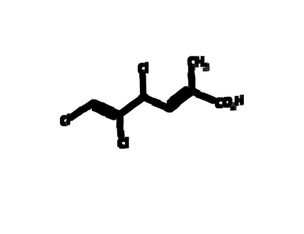 CC(=CC(Cl)C(Cl)=CCl)C(=O)O